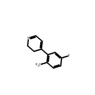 Fc1ccc(C(F)(F)F)c(C2=CC=NCC2)c1